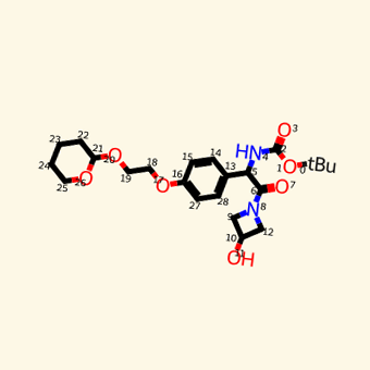 CC(C)(C)OC(=O)NC(C(=O)N1CC(O)C1)c1ccc(OCCOC2CCCCO2)cc1